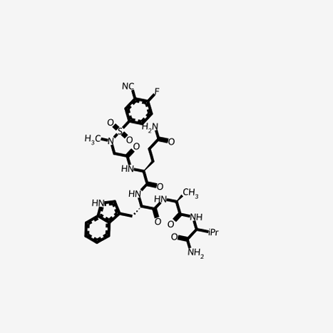 CC(C)C(NC(=O)[C@H](C)NC(=O)[C@H](Cc1c[nH]c2ccccc12)NC(=O)[C@H](CCC(N)=O)NC(=O)CN(C)S(=O)(=O)c1ccc(F)c(C#N)c1)C(N)=O